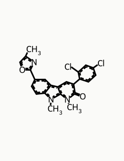 Cc1coc(-c2ccc3c(c2)c2cc(-c4ccc(Cl)cc4Cl)c(=O)n(C)c2n3C)n1